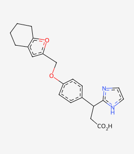 O=C(O)CC(c1ccc(OCc2cc3c(o2)CCCC3)cc1)c1ncc[nH]1